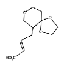 O=C(O)/C=C/CC1COCCC12OCCO2